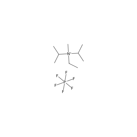 CC[N+](C)(C(C)C)C(C)C.F[P-](F)(F)(F)(F)F